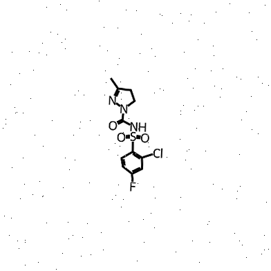 CC1=NN(C(=O)NS(=O)(=O)c2ccc(F)cc2Cl)CC1